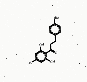 CC(C)(C)c1ccc(CCC(=O)c2c(O)cc(O)cc2O)cc1